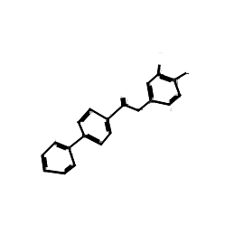 O=C([CH]c1ccc(F)c(F)c1)c1ccc(-c2ccccc2)cc1